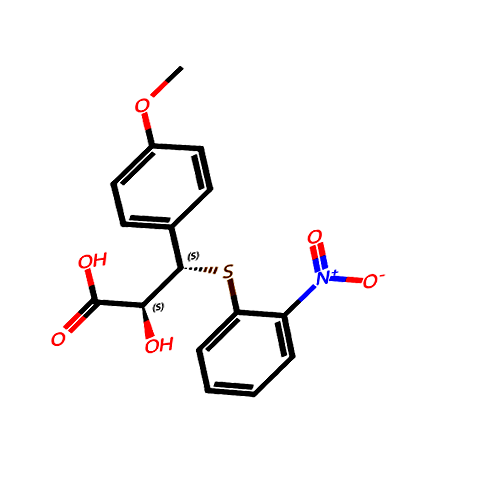 COc1ccc([C@H](Sc2ccccc2[N+](=O)[O-])[C@@H](O)C(=O)O)cc1